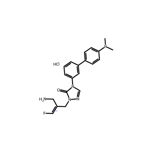 CN(C)c1ccc(-c2cccc(-n3cnn(C/C(=C/F)CN)c3=O)c2)cc1.Cl